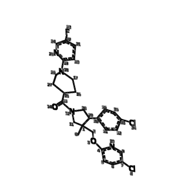 CC1(COc2ccc(Cl)cn2)CN(C(=O)C2CCN(c3ccc(F)cn3)CC2)CC1c1ccc(Cl)cc1